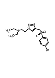 CCN(CC)CCn1cc(CS(=O)(=O)c2ccc(Br)cc2)nn1